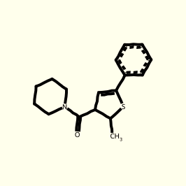 CC1SC(c2ccccc2)=CC1C(=O)N1CCCCC1